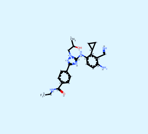 CC(O)Cn1nc(-c2ccc(C(=O)NCC(F)(F)F)cc2)nc1Nc1ccc(N)c(C=N)c1C1CC1